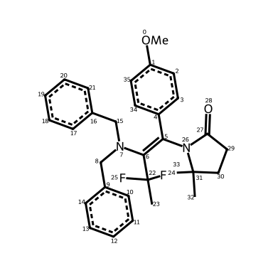 COc1ccc(C(=C(N(Cc2ccccc2)Cc2ccccc2)C(C)(F)F)N2C(=O)CCC2(C)C)cc1